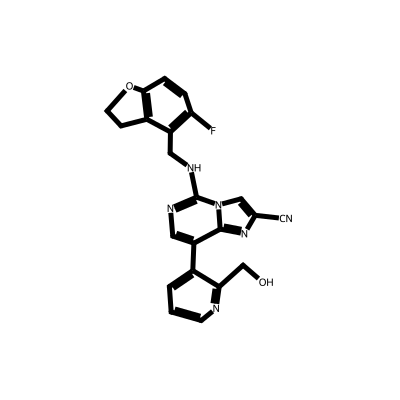 N#Cc1cn2c(NCc3c(F)ccc4c3CCO4)ncc(-c3cccnc3CO)c2n1